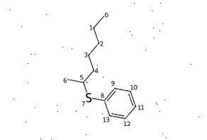 CCCCC[C](C)Sc1ccccc1